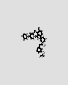 CC(C)Oc1cccc(CC(=O)N2CCC[C@](CCN3CCC(N4CCCCC4)CC3)(c3ccc(F)c(F)c3)C2)c1